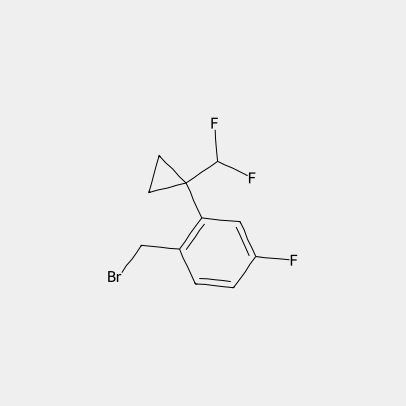 Fc1ccc(CBr)c(C2(C(F)F)CC2)c1